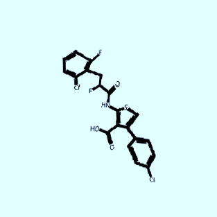 O=C(O)c1c(-c2ccc(Cl)cc2)csc1NC(=O)C(F)Cc1c(F)cccc1Cl